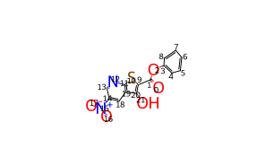 O=C(Oc1ccccc1)c1sc2ncc([N+](=O)[O-])cc2c1O